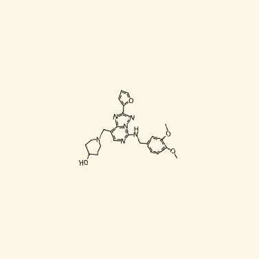 COc1ccc(CNc2ncc(CN3CCC(O)CC3)c3nc(-c4ccco4)nn23)cc1OC